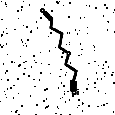 C#CCCOCCCC=O